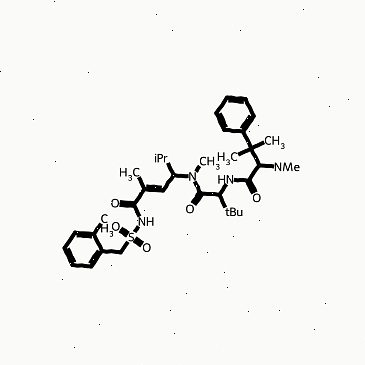 CNC(C(=O)NC(C(=O)N(C)C(C=C(C)C(=O)NS(=O)(=O)Cc1ccccc1C)C(C)C)C(C)(C)C)C(C)(C)c1ccccc1